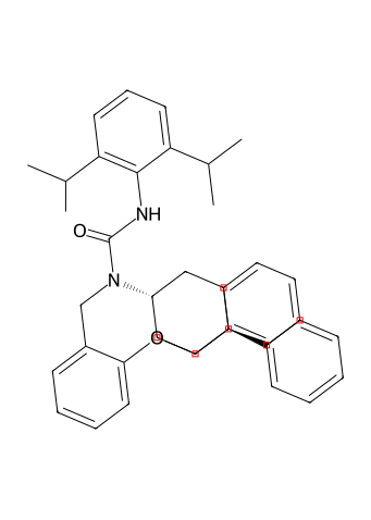 CC(C)c1cccc(C(C)C)c1NC(=O)N(Cc1ccccc1OCc1ccccc1)[C@H]1CC[C@H](c2ccccc2)CC1